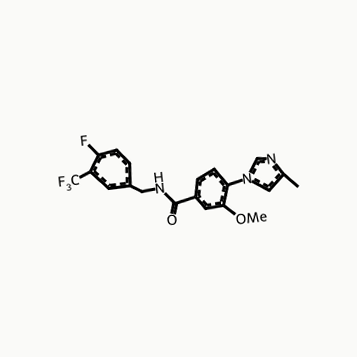 COc1cc(C(=O)NCc2ccc(F)c(C(F)(F)F)c2)ccc1-n1cnc(C)c1